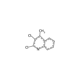 Cc1c(Cl)c(Cl)nc2ccccc12